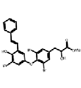 COC(=O)C(O)Cc1cc(Br)c(Oc2cc(/C=C/c3ccccc3)c(O)c(C(C)C)c2)c(Br)c1